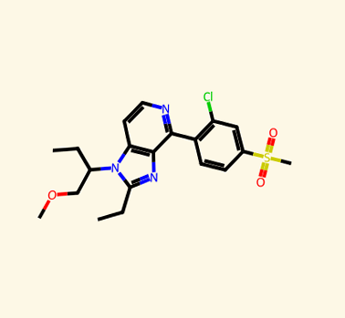 CCc1nc2c(-c3ccc(S(C)(=O)=O)cc3Cl)nccc2n1C(CC)COC